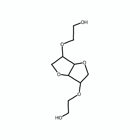 OCCOC1COC2C(OCCO)COC12